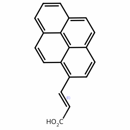 O=C(O)/C=C/c1ccc2ccc3cccc4ccc1c2c34